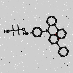 CC(C)(O)C(C)(C)OBc1ccc(N(c2ccc(-c3ccccc3)cc2)c2ccccc2-c2ccccc2)cc1